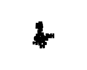 Br.CCC(=O)N(c1ccccc1)C1(COC)CCN(CCc2cccs2)CC1